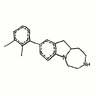 Cc1cccc(-c2ccc3c(c2)CC2CCNCCN32)c1C